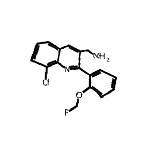 NCc1cc2cccc(Cl)c2nc1-c1ccccc1OCF